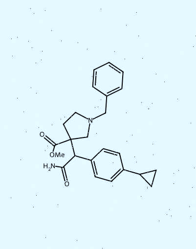 COC(=O)C1(C(C(N)=O)c2ccc(C3CC3)cc2)CCN(Cc2ccccc2)C1